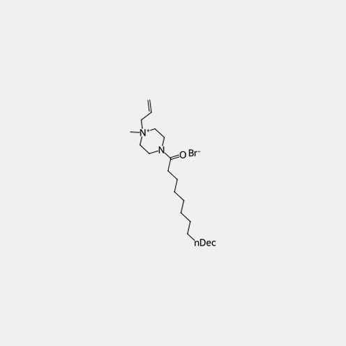 C=CC[N+]1(C)CCN(C(=O)CCCCCCCCCCCCCCCCC)CC1.[Br-]